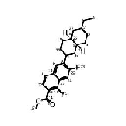 CCC1CC[C@@H]2CC(c3cc4ccc(C(=O)OC)c(F)c4cc3F)CC[C@H]2C1